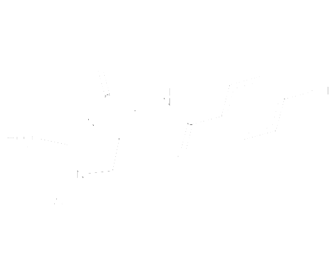 CC(=O)N1CC2[C@@H](NC(=O)c3ccc(O)cc3)C(=O)N2C1C(=O)O